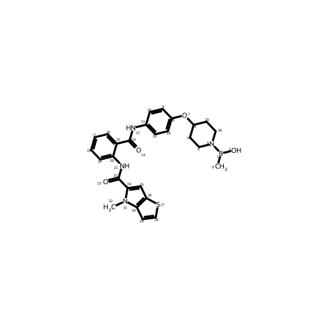 CB(O)N1CCC(Oc2ccc(NC(=O)c3ccccc3NC(=O)c3cc4sccc4n3C)cc2)CC1